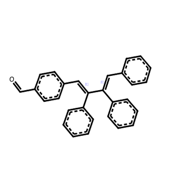 O=Cc1ccc(/C=C(/C(=C/c2ccccc2)c2ccccc2)c2ccccc2)cc1